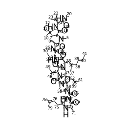 C=C(C(=O)N(C)[C@@H](CC(C)(C)OC)C(=O)N[C@@H](C(=O)NC)C(C)C)N(C)C(=O)[C@H](CC)NC(=O)C(C[C@H](C)C/C=C/C)N(C)C(=O)[C@H](C(C)C)N(C)C(=O)N(C)C(=O)[C@H](CC(C)C)N(C)C(=O)NC(=O)[C@@H](C)NC(=O)CCC(C)C